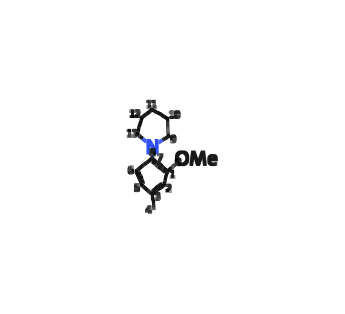 COc1cc(C)ccc1N1CCCCC1